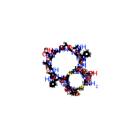 CC(C)C[C@@H]1NC(=O)[C@H](Cc2c[nH]cn2)NC(=O)[C@H](Cc2c[nH]c3ccccc23)NC(=O)[C@H](C)NC(=O)[C@@H]2CSSC[C@H](NC(=O)[C@H](Cc3c[nH]c4ccccc34)NC(=O)[C@H](C(C)C)NC(=O)[C@H](CC(C)C)NC(=O)[C@H](CCC(=O)O)NC(=O)CNC1=O)C(=O)NC([C@@H](C)O)C(=O)N[C@H](C(=O)C(C)(C)C)CSSC[C@H](N)C(=O)N[C@@H](CC(=O)O)C(=O)N2